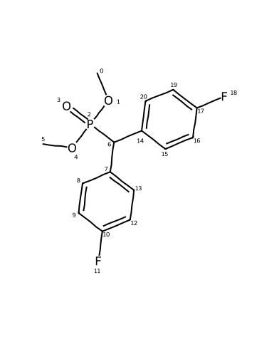 COP(=O)(OC)C(c1ccc(F)cc1)c1ccc(F)cc1